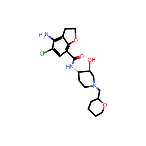 Nc1c(Cl)cc(C(=O)N[C@H]2CCN(CC3CCCCO3)C[C@@H]2O)c2c1CCO2